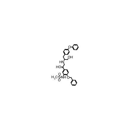 CS(=O)(=O)Nc1cc([C@@H](O)CNC(CO)Cc2ccc(Oc3ccccc3)cc2)ccc1OCc1ccccc1